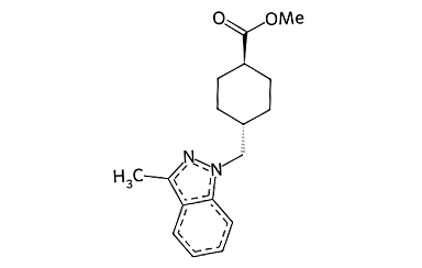 COC(=O)[C@H]1CC[C@H](Cn2nc(C)c3ccccc32)CC1